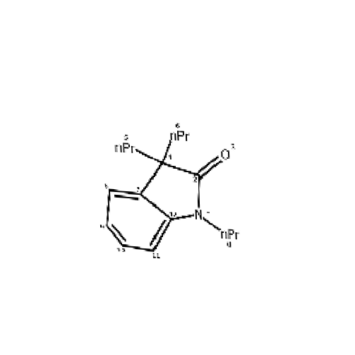 CCCN1C(=O)C(CCC)(CCC)c2ccccc21